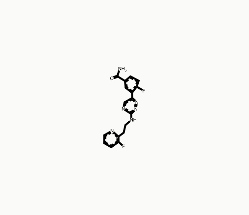 NC(=O)c1ccc(F)c(-c2cnc(NCCc3ncccc3F)nn2)c1